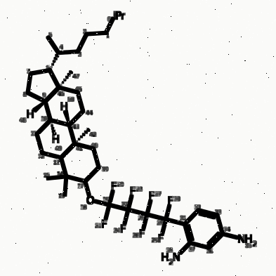 CC(C)CCCC(C)[C@H]1CC[C@H]2[C@@H]3CCC4C(C)(C)C(OC(F)(F)C(F)(F)C(F)(F)C(F)(F)c5ccc(N)cc5N)CC[C@]4(C)[C@H]3CC[C@]12C